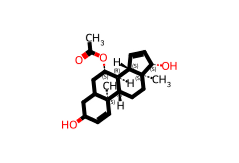 CC(=O)O[C@H]1CC2CC(O)C=C[C@]2(C)[C@H]2CC[C@]3(C)[C@@H](O)C=C[C@H]3[C@H]12